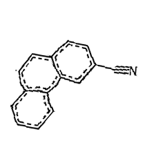 N#Cc1ccc2c[c]c3ccccc3c2c1